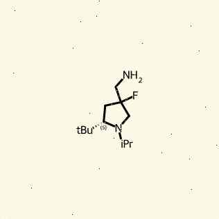 CC(C)N1CC(F)(CN)C[C@H]1C(C)(C)C